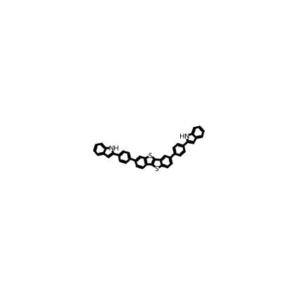 c1ccc2[nH]c(-c3ccc(-c4ccc5c(c4)sc4c6cc(-c7ccc(-c8cc9ccccc9[nH]8)cc7)ccc6sc54)cc3)cc2c1